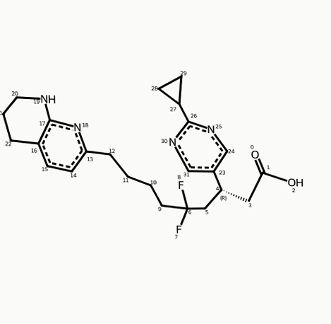 O=C(O)C[C@H](CC(F)(F)CCCCc1ccc2c(n1)NCCC2)c1cnc(C2CC2)nc1